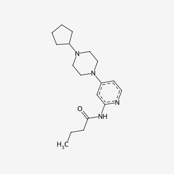 CCCC(=O)Nc1cc(N2CCN(C3CCCC3)CC2)ccn1